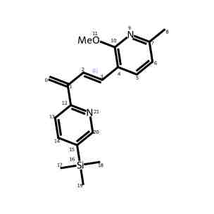 C=C(/C=C/c1ccc(C)nc1OC)c1ccc([Si](C)(C)C)cn1